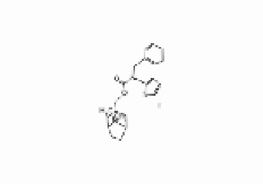 C[N+]1(C)C2CCC1CC(COC(=O)N(Cc1ccccc1)c1cccs1)C2.[I-]